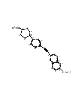 CCCCCc1ccc2cc(C#Cc3ccc(C4CCC(CCCCC)CC4)cc3)ccc2c1